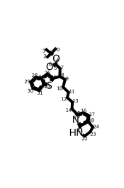 CC(C)(C)OC(=O)CC(CCCCCCc1ccc2c(n1)NCCC2)c1cc2ccccc2s1